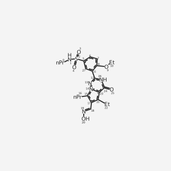 CCCNS(=O)(=O)c1ccc(OCC)c(-c2nn3c(CCC)c(/C=N/O)c(CC)c3c(=O)[nH]2)c1